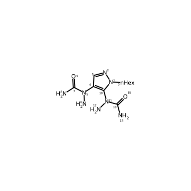 CCCCCCn1ncc(N(N)C(N)=O)c1N(N)C(N)=O